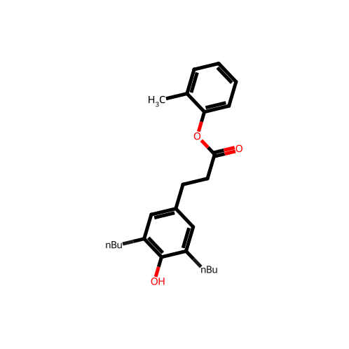 CCCCc1cc(CCC(=O)Oc2ccccc2C)cc(CCCC)c1O